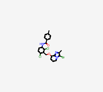 Cc1ccc(C(=O)Nc2ccc(Cl)c(COc3cccn4c(Br)c(C)nc34)c2Cl)cc1